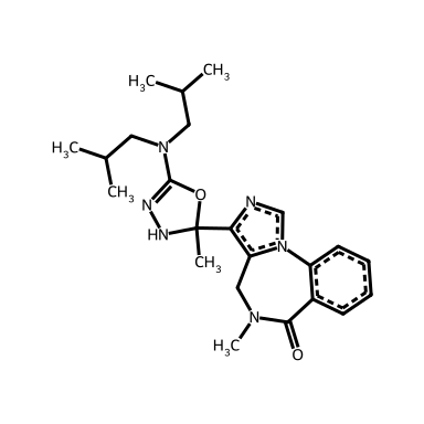 CC(C)CN(CC(C)C)C1=NNC(C)(c2ncn3c2CN(C)C(=O)c2ccccc2-3)O1